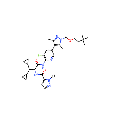 CCn1nccc1C(=O)NC(C(=O)Nc1ncc(-c2c(C)nn(COCC[Si](C)(C)C)c2C)cc1F)C(C1CC1)C1CC1